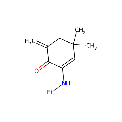 C=C1CC(C)(C)C=C(NCC)C1=O